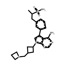 CC(Cc1cccc(-c2cn(C3CC(CN4CCC4)C3)c3ncnc(N)c23)c1)S(N)(=O)=O